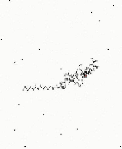 CCCCCCCCCCCCCCCC1OCC(CO[C@H](OC)O[C@@H]2C(=O)C=C(C)C3C[C@H]4OC(=O)C(OC(=O)CC(C(C)C)C(C)C)C5[C@@H](C)CCC([C@]32C)[C@]54CO)O1